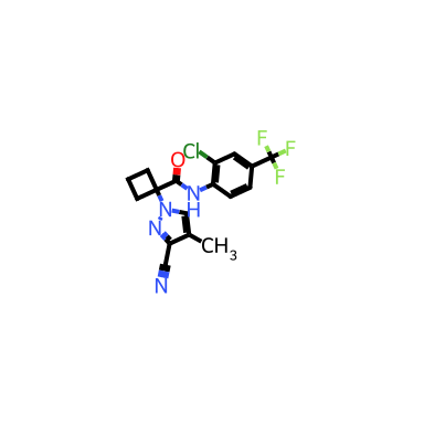 Cc1cn(C2(C(=O)Nc3ccc(C(F)(F)F)cc3Cl)CCC2)nc1C#N